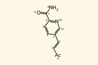 CC(=O)C=Cc1ccc(C(N)=O)nc1